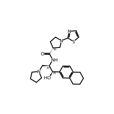 O=C(N[C@H](CN1CCCC1)[C@H](O)c1ccc2c(c1)CCCC2)[C@@H]1CCN(c2nccs2)C1